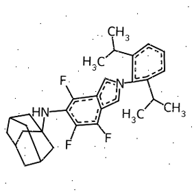 CC(C)c1cccc(C(C)C)c1-n1cc2c(F)c(F)c(NC34CC5CC(CC(C5)C3)C4)c(F)c2c1